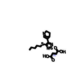 CCCCCSc1nsnc1C1CN2CCC1C2.O=C(O)/C=C/C(=O)O